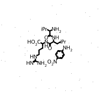 CC(C)CC(NC(=O)C(N)C(C)C)C(=O)NC(CCCNC(=N)N)C(=O)O.Nc1ccc([N+](=O)[O-])cc1